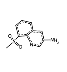 CS(=O)(=O)c1cccc2cc(N)cnc12